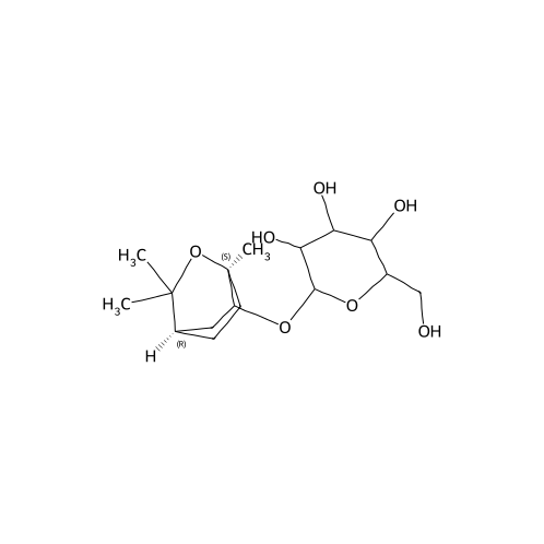 CC1(C)O[C@@]2(C)CC[C@@H]1CC2OC1OC(CO)C(O)C(O)C1O